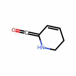 O=C=C1C=CCCN1